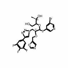 C[C@@H](O)C(CO)OC(Sc1cncc(Br)c1)[C@H](Cn1cc(-c2cc(F)c(F)c(F)c2)nn1)OCc1cnco1